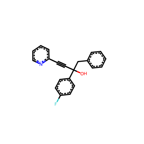 OC(C#Cc1ccccn1)(Cc1ccccc1)c1ccc(F)cc1